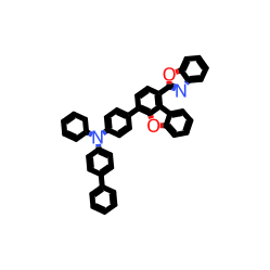 C1=CCC(N(c2ccc(-c3ccccc3)cc2)c2ccc(-c3ccc(-c4nc5ccccc5o4)c4c3oc3ccccc34)cc2)C=C1